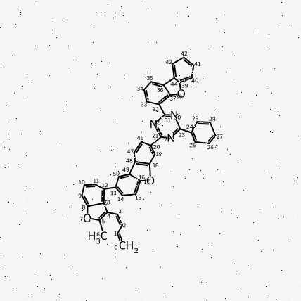 C=C/C=C\c1c(C)oc2cccc(-c3ccc4oc5cc(-c6nc(-c7ccccc7)nc(-c7cccc8c7oc7ccccc78)n6)ccc5c4c3)c12